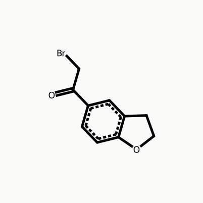 O=C(CBr)c1ccc2c(c1)CCO2